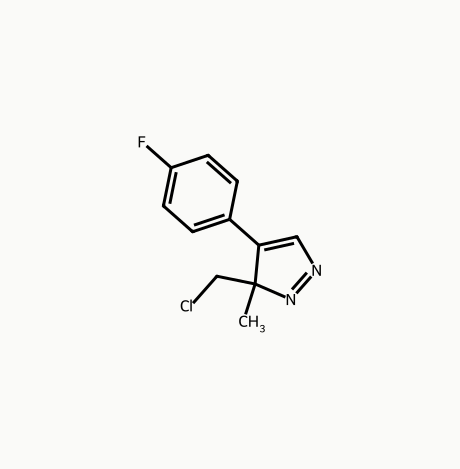 CC1(CCl)N=NC=C1c1ccc(F)cc1